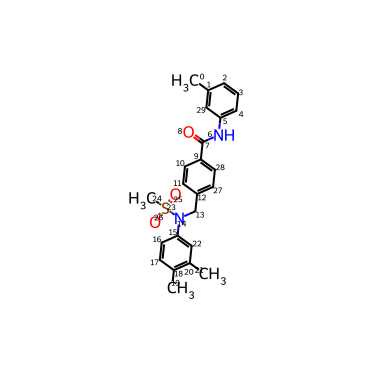 Cc1cccc(NC(=O)c2ccc(CN(c3ccc(C)c(C)c3)S(C)(=O)=O)cc2)c1